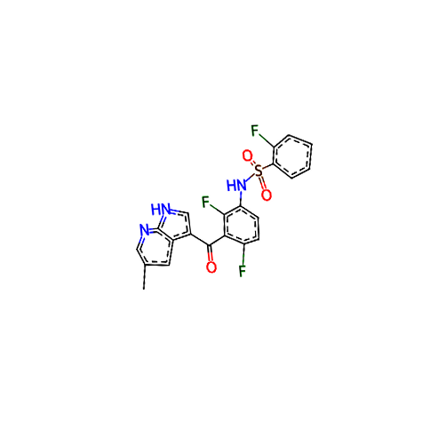 Cc1cnc2[nH]cc(C(=O)c3c(F)ccc(NS(=O)(=O)c4ccccc4F)c3F)c2c1